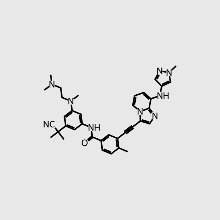 Cc1ccc(C(=O)Nc2cc(N(C)CCN(C)C)cc(C(C)(C)C#N)c2)cc1C#Cc1cnc2c(Nc3cnn(C)c3)cccn12